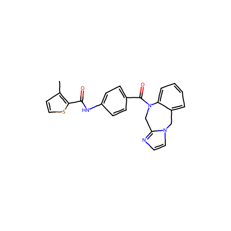 Cc1ccsc1C(=O)Nc1ccc(C(=O)N2Cc3nccn3Cc3ccccc32)cc1